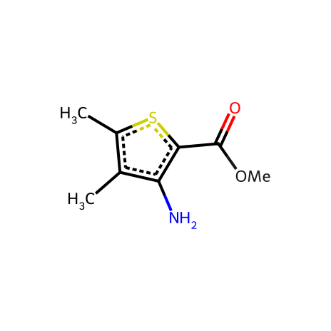 COC(=O)c1sc(C)c(C)c1N